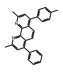 Cc1ccc(-c2cc(C)nc3c2ccc2c(-c4ccccc4)cc(C)nc23)cc1